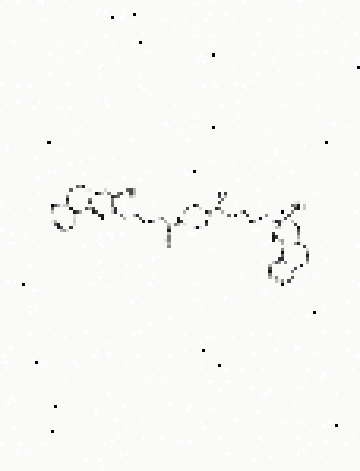 N=c1cc2c(nn1CCCCC(=O)N1CCN(C(=O)CCCCn3nc4c(cc3=N)CCc3ccccc3-4)CC1)-c1ccccc1CC2